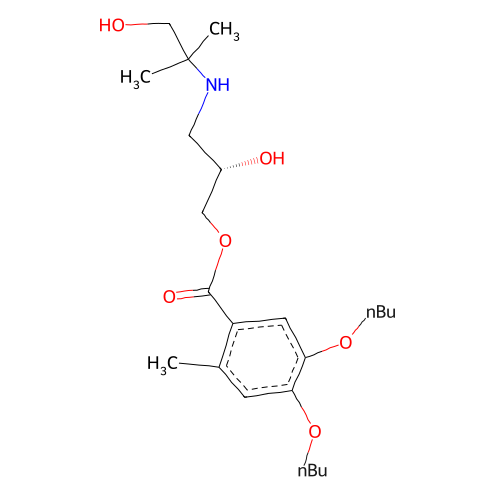 CCCCOc1cc(C)c(C(=O)OC[C@@H](O)CNC(C)(C)CO)cc1OCCCC